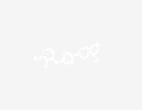 Nc1nccc(Sc2cnc(N3CCC4(CC3)COC[C@H]4N)cn2)c1Cl